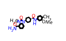 COc1cc(NC(=O)[C@H]2CC[C@@H](n3c(=O)n(C)c4c(C(N)=O)cccc43)CC2)ccc1C